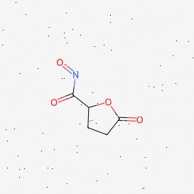 O=NC(=O)C1CCC(=O)O1